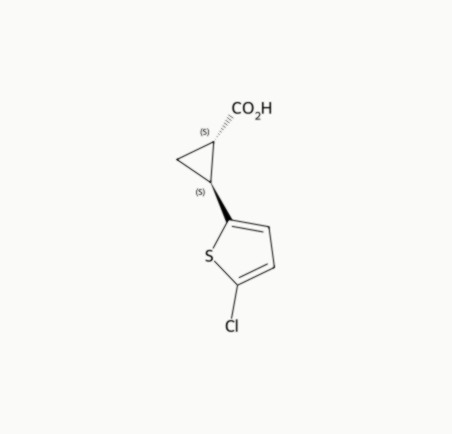 O=C(O)[C@H]1C[C@@H]1c1ccc(Cl)s1